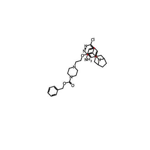 Nc1nnc(Cl)cc1N1CC2CCC(C1)N2c1cccc(OCCN2CCN(C(=O)OCc3ccccc3)CC2)c1